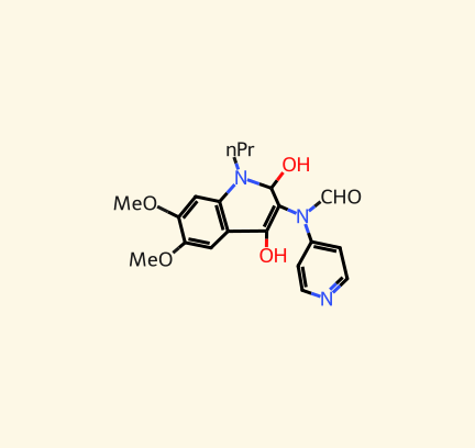 CCCN1c2cc(OC)c(OC)cc2C(O)=C(N(C=O)c2ccncc2)C1O